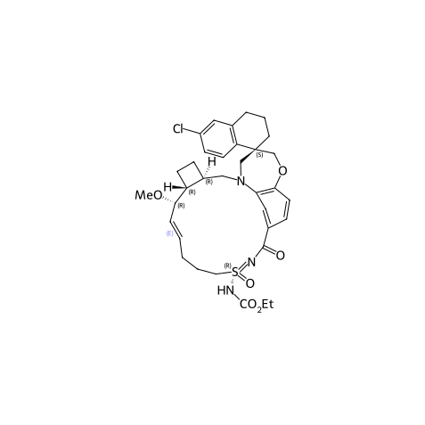 CCOC(=O)N[S@@]1(=O)=NC(=O)c2ccc3c(c2)N(C[C@@H]2CC[C@H]2[C@@H](OC)/C=C/CCC1)C[C@@]1(CCCc2cc(Cl)ccc21)CO3